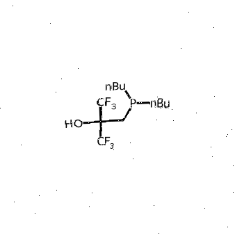 CCCCP(CCCC)CC(O)(C(F)(F)F)C(F)(F)F